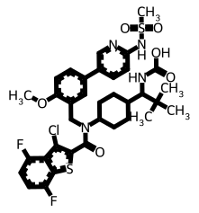 COc1ccc(-c2ccc(NS(C)(=O)=O)nc2)cc1CN(C(=O)c1sc2c(F)ccc(F)c2c1Cl)C1CCC(C(NC(=O)O)C(C)(C)C)CC1